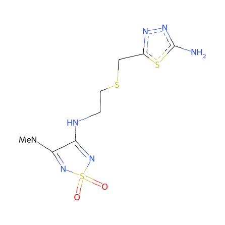 CNC1=NS(=O)(=O)N=C1NCCSCc1nnc(N)s1